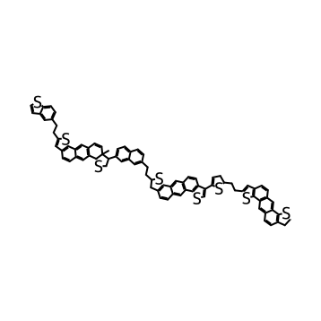 CC12C=Cc3cc4c(ccc5cc(CCc6ccc7sccc7c6)sc54)cc3C1SCC2c1ccc2ccc(CCC3Cc4ccc5cc6c(ccc7c(C8=CCC(CCc9cc%10ccc%11cc%12c%13c(ccc%12cc%11c%10s9)CCS%13)S8)csc76)cc5c4S3)cc2c1